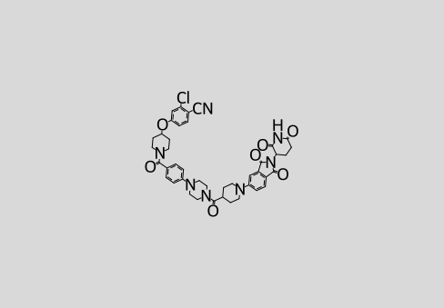 N#Cc1ccc(OC2CCN(C(=O)c3ccc(N4CCN(C(=O)C5CCN(c6ccc7c(c6)C(=O)N(C6CCC(=O)NC6=O)C7=O)CC5)CC4)cc3)CC2)cc1Cl